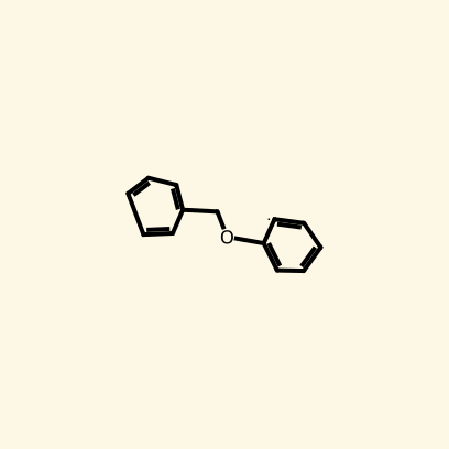 [c]1ccccc1OCc1ccccc1